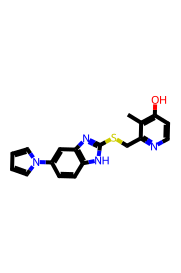 Cc1c(O)ccnc1CSc1nc2cc(-n3cccc3)ccc2[nH]1